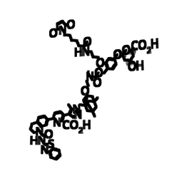 Cc1c(-c2ccc(-c3ccc4c(c3)N(C(=O)Nc3nc5ccccc5s3)CCC4)nc2C(=O)O)cnn1CC12CC3(C)CC(C)(C1)CC(OCCN(C)C(=O)OCc1ccc(O[C@H]4C[C@@H](O)C[C@@H](C(=O)O)O4)cc1OCCCNC(=O)CCCCCN1C(=O)C=CC1=O)(C3)C2